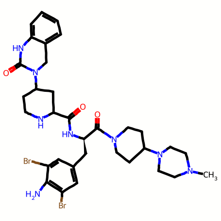 CN1CCN(C2CCN(C(=O)[C@@H](Cc3cc(Br)c(N)c(Br)c3)NC(=O)C3CC(N4Cc5ccccc5NC4=O)CCN3)CC2)CC1